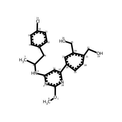 COc1nc(NC(C)Cc2ccc(Cl)cc2)cc(-c2ccc(CO)c(CO)c2)n1